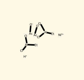 CC(=O)[O-].CC(=O)[O-].C[CH2][Al]([Cl])[Cl].C[CH2][Al]([Cl])[Cl].[H+].[Ni+2]